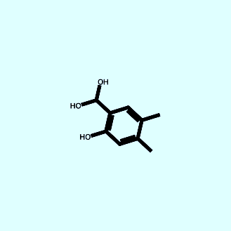 Cc1cc(O)c(C(O)O)cc1C